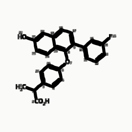 CC(C(=O)O)c1ccc(Oc2c(-c3cccc(F)c3)ccc3cc(O)ccc23)cc1